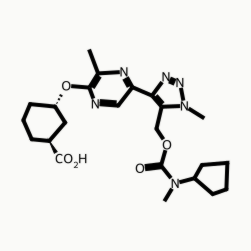 Cc1nc(-c2nnn(C)c2COC(=O)N(C)C2CCCC2)cnc1O[C@H]1CCC[C@H](C(=O)O)C1